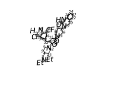 CCN(CC)CC1CCN(C(=O)C(CC(=O)N2CCC(N3CCc4ccccc4NC3=O)CC2)Cc2cc(Cl)c(N)c(C(F)(F)F)c2)CC1